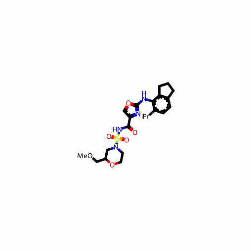 COCC1CN(S(=O)(=O)NC(=O)c2coc(Nc3c(C(C)C)ccc4c3CCC4)n2)CCO1